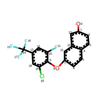 [O]c1ccc2ccc(Oc3c(F)cc(C(F)(F)F)cc3Cl)cc2c1